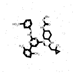 Cc1cccc(C)c1-c1cc(OC[C@@H](CC2(C(F)(F)F)CC2)NC2CCC(NC(=O)OC(C)(C)C)CC2)nc(NSc2cccc(C(=O)O)c2)n1